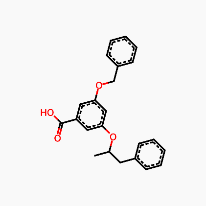 CC(Cc1ccccc1)Oc1cc(OCc2ccccc2)cc(C(=O)O)c1